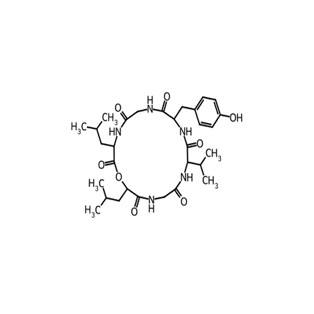 CC(C)CC1NC(=O)CNC(=O)C(Cc2ccc(O)cc2)NC(=O)C(C(C)C)NC(=O)CNC(=O)C(CC(C)C)OC1=O